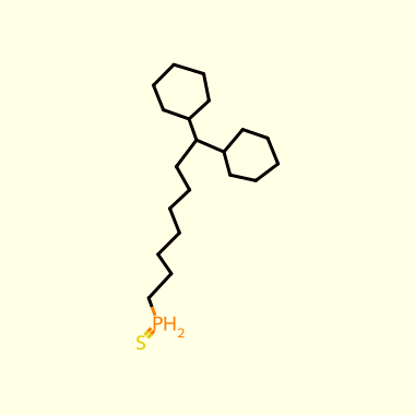 S=[PH2]CCCCCCCC(C1CCCCC1)C1CCCCC1